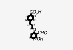 O=Cc1c(O)cccc1OCCCc1ccc(C(=O)O)cc1